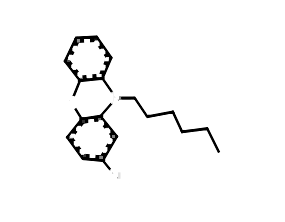 CCCCCCN1c2ccccc2Sc2ccc(N)cc21